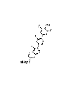 CCCCCCCc1ccc2c(F)c(-c3ccc(-c4cc(F)c(C#N)c(F)c4)c(F)c3)ccc2c1